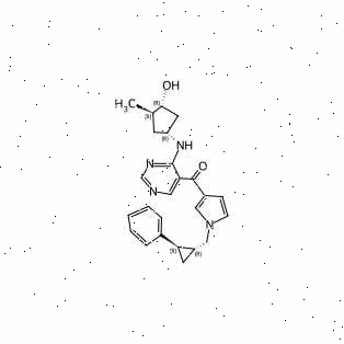 C[C@@H]1C[C@@H](Nc2ncncc2C(=O)c2ccn(C[C@@H]3C[C@H]3c3ccccc3)c2)C[C@H]1O